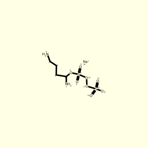 NCCCC(N)OS(=O)(=O)OOS(=O)(=O)[O-].[Na+]